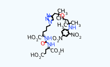 CC(C)(CCOC(C)(C)Cc1cn(CCCC[C@H](NC(=O)N[C@@H](CCC(=O)O)C(=O)O)C(=O)O)nn1)Nc1ccc([N+](=O)[O-])cc1[N+](=O)[O-]